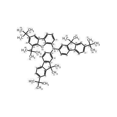 CC(C)(C)c1ccc2c(c1)C(C)(C)c1cc(N(c3ccc4c(c3)C(C)(C)c3cc(C(C)(C)C)ccc3-4)c3cccc4c3oc3c(C(C)(C)C)cc(C(C)(C)C)cc34)ccc1-2